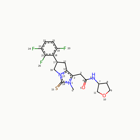 Cn1c(CC(=O)NC2CCOC2)c2n(c1=S)CC(c1c(F)ccc(F)c1F)C2